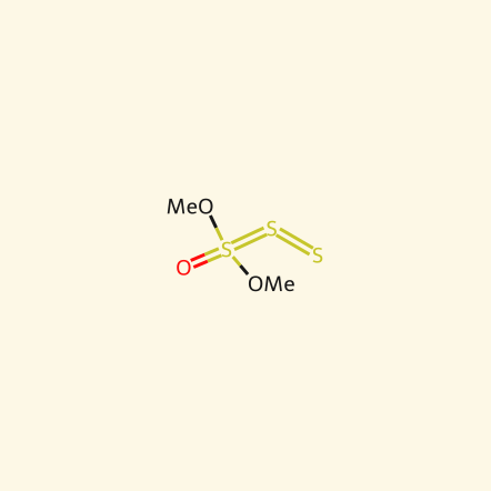 COS(=O)(OC)=S=S